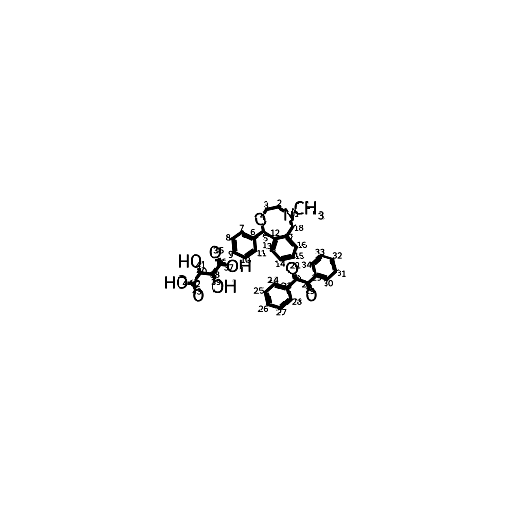 CN1CCOC(c2ccccc2)c2ccccc2C1.O=C(C(=O)c1ccccc1)c1ccccc1.O=C(O)C(O)C(O)C(=O)O